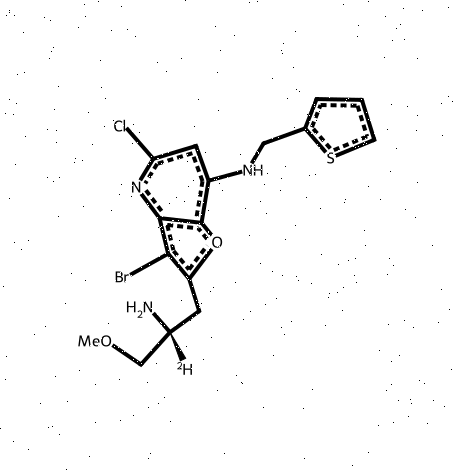 [2H][C@](N)(COC)Cc1oc2c(NCc3cccs3)cc(Cl)nc2c1Br